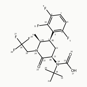 C[C@H]1[C@@H](c2c(F)ccc(F)c2F)C[C@@H](N(C(=O)O)C(C)(C)C)C(=O)N1CC(F)(F)F